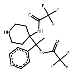 CC(NC(=O)C(F)(F)F)(c1ccncc1)C1(NC(=O)C(F)(F)F)CCNCC1